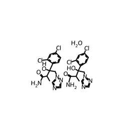 CC(C(N)=O)C(O)(Cn1cncn1)c1ccc(Cl)cc1Cl.CC(C(N)=O)C(O)(Cn1cncn1)c1ccc(Cl)cc1Cl.O